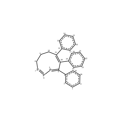 c1ccc(C2=P\P=P/CCC/C(c3ccccc3)=C\2c2ccccc2)cc1